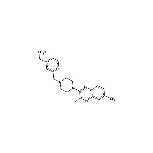 Cc1nc2cc(C(F)(F)F)ccc2nc1N1CCN(Cc2cccc(CC(=O)O)c2)CC1